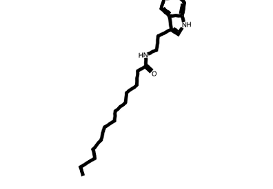 CCCCCCCCCCCCC(=O)NCCc1c[nH]c2ccccc12